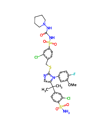 COc1cc(-n2c(C(C)(C)c3ccc(S(N)(=O)=O)c(Cl)c3)cnc2SCc2ccc(S(=O)(=O)NC(=O)NN3CCCCC3)cc2Cl)ccc1F